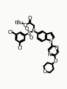 CC(C)(C)OC(=O)CN(c1ccc2c(ccn2-c2cnc(OC3CCOCC3)cn2)c1)S(=O)(=O)c1cc(Cl)cc(Cl)c1